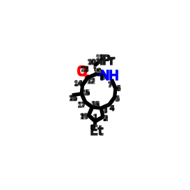 CCC1CC2CCCCN[C@@H](CC(C)C)C(=O)CC(C)CC2C1